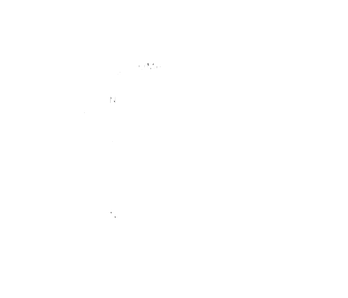 COC(=O)N1CC2CCc3ncc(C#Cc4ccccc4)cc3C2C1